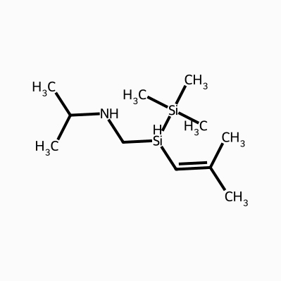 CC(C)=C[SiH](CNC(C)C)[Si](C)(C)C